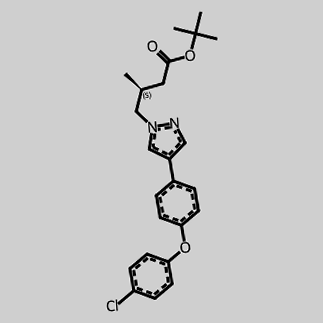 C[C@@H](CC(=O)OC(C)(C)C)Cn1cc(-c2ccc(Oc3ccc(Cl)cc3)cc2)cn1